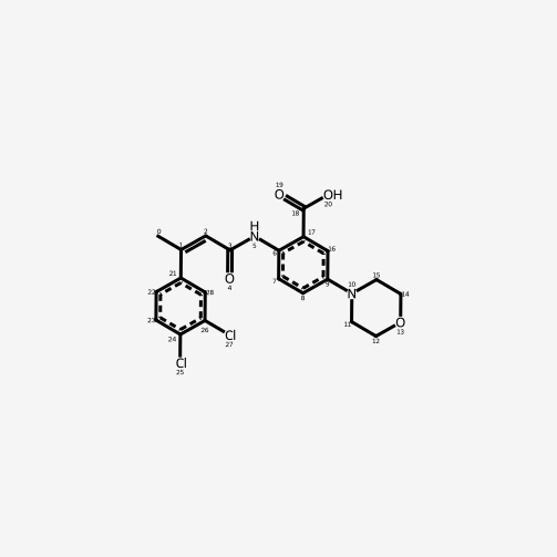 C/C(=C/C(=O)Nc1ccc(N2CCOCC2)cc1C(=O)O)c1ccc(Cl)c(Cl)c1